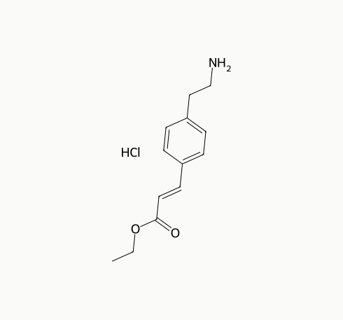 CCOC(=O)C=Cc1ccc(CCN)cc1.Cl